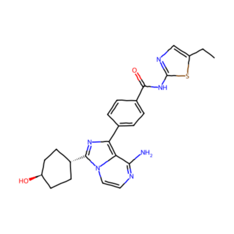 CCc1cnc(NC(=O)c2ccc(-c3nc([C@H]4CC[C@H](O)CC4)n4ccnc(N)c34)cc2)s1